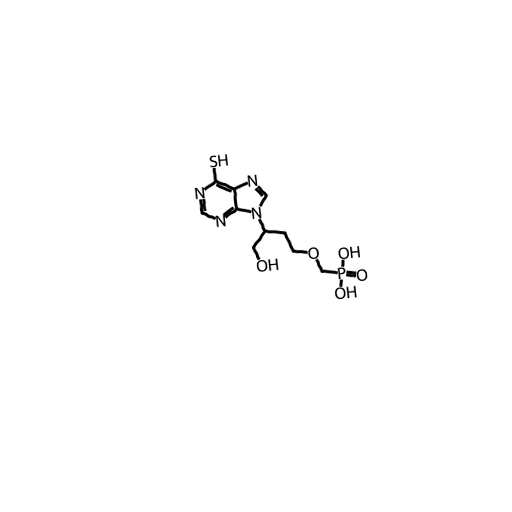 O=P(O)(O)COCCC(CO)n1cnc2c(S)ncnc21